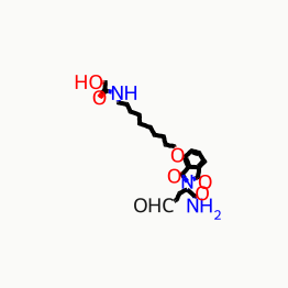 NC(=O)C(CCC=O)N1C(=O)c2cccc(OCCCCCCCCCCNC(=O)CO)c2C1=O